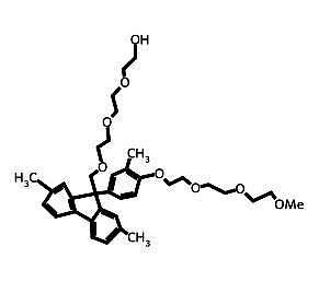 COCCOCCOCCOc1ccc(C2(COCCOCCOCCO)c3cc(C)ccc3-c3ccc(C)cc32)cc1C